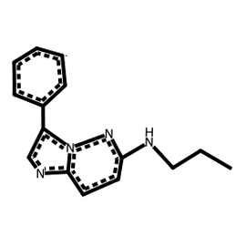 CCCNc1ccc2ncc(-c3c[c]ccc3)n2n1